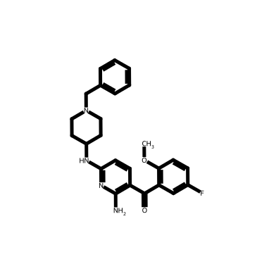 COc1ccc(F)cc1C(=O)c1ccc(NC2CCN(Cc3ccccc3)CC2)nc1N